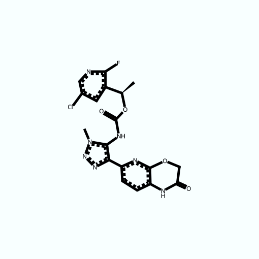 C[C@@H](OC(=O)Nc1c(-c2ccc3c(n2)OCC(=O)N3)nnn1C)c1cc(Cl)cnc1F